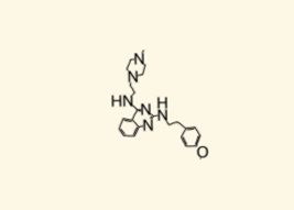 COc1ccc(CCNc2nc(NCCN3CCN(C)CC3)c3ccccc3n2)cc1